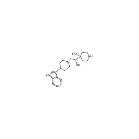 OC(CN1CCC(c2c[nH]c3ccccc23)CC1)C1(O)CCNCC1